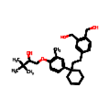 Cc1cc(C2(CCc3ccc(CO)c(CO)c3)CCCCC2)ccc1OCC(O)C(C)(C)C